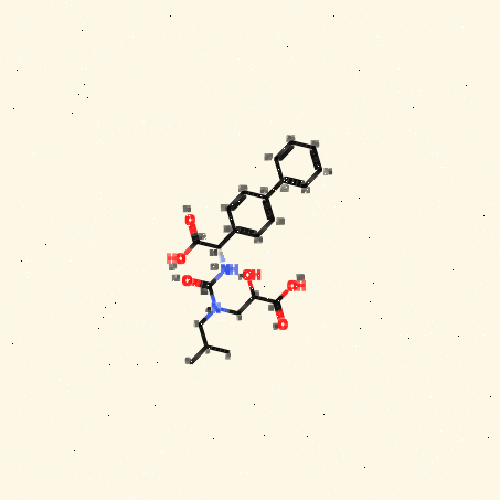 CC(C)CN(CC(O)C(=O)O)C(=O)N[C@H](C(=O)O)c1ccc(-c2ccccc2)cc1